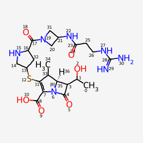 CC(O)C1C(=O)N2C(C(=O)O)=C(SC3CNC(C(=O)N4CC(NC(=O)CCNC(=N)N)C4)C3)C(C)[C@@H]12